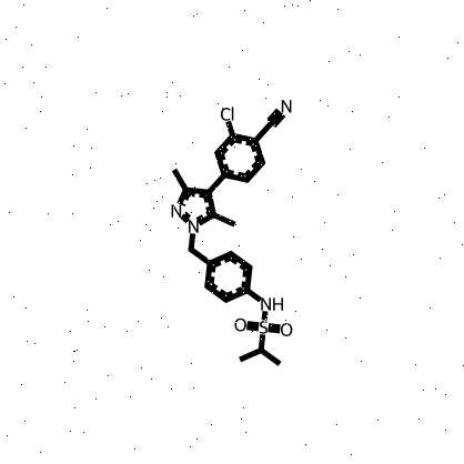 Cc1nn(Cc2ccc(NS(=O)(=O)C(C)C)cc2)c(C)c1-c1ccc(C#N)c(Cl)c1